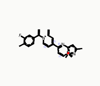 C=C/C=C(\C=C/N(C)C(=C)c1ccc(C)c(F)c1)C(/C=C\N=C)=N/c1cc(C)nn1C